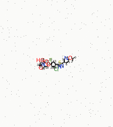 CC(C)Oc1ccc(-c2nnc(-c3cc(F)c(OCC4COC(C)(C)N4C(=O)O)cc3Cl)s2)cn1